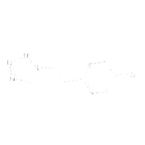 Brc1ccc(CCn2cnnn2)cc1